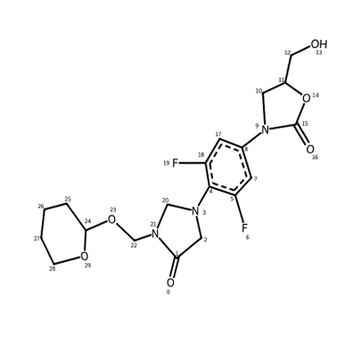 O=C1CN(c2c(F)cc(N3CC(CO)OC3=O)cc2F)CN1COC1CCCCO1